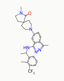 Cc1c(C(C)Nc2nnc(C)c3ccc(N4CCC5(CCN(C)C5=O)CC4)cc23)cccc1C(F)(F)F